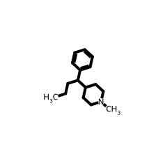 CCCC(c1ccccc1)C1CCN(C)CC1